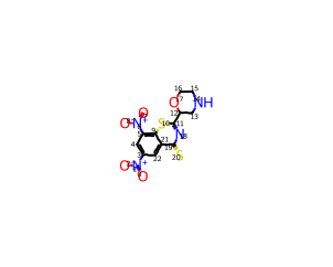 O=[N+]([O-])c1cc([N+](=O)[O-])c2sc(C3CNCCO3)nc(=S)c2c1